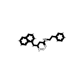 O=CC(CC(=O)NCCc1ccccc1)Cc1cccc2ccccc12